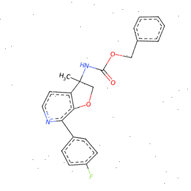 CC1(NC(=O)OCc2ccccc2)COc2c1ccnc2-c1ccc(F)cc1